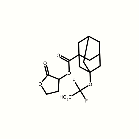 O=C1OCCC1OC(=O)C12CC3CC(CC(OC(F)(F)C(=O)O)(C3)C1)C2